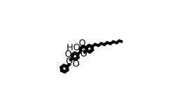 CCCCCCCCCCc1ccc2oc(-c3cc(OC)c(OCc4ccccc4)c(OC)c3)c(O)c(=O)c2c1